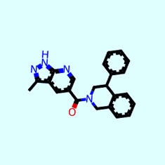 Cc1n[nH]c2ncc(C(=O)N3Cc4ccccc4C(c4ccccc4)C3)cc12